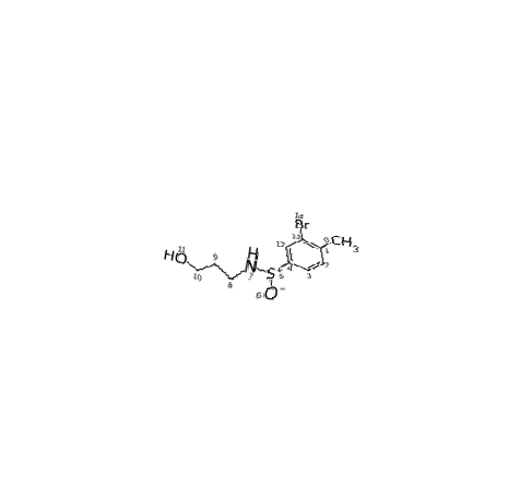 Cc1ccc([S+]([O-])NCCCO)cc1Br